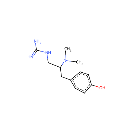 CN(C)C(CNC(=N)N)Cc1ccc(O)cc1